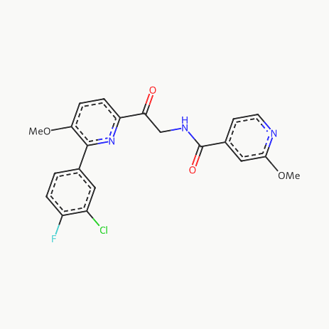 COc1cc(C(=O)NCC(=O)c2ccc(OC)c(-c3ccc(F)c(Cl)c3)n2)ccn1